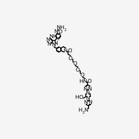 NCc1cnc(N2CCN(c3ncc(C(=O)NCCOCCOCCOCCOCCC(=O)N4CCc5cc(Cn6nc(-c7ccc8oc(N)nc8c7)c7c(N)ncnc76)ccc5C4)cn3)CC2CO)nc1